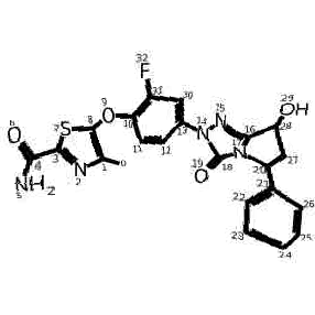 Cc1nc(C(N)=O)sc1Oc1ccc(-n2nc3n(c2=O)C(c2ccccc2)CC3O)cc1F